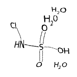 O.O.O.O=S(=O)(O)NCl